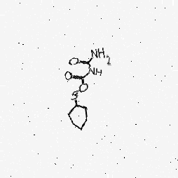 NC(=O)NC(=O)OSC1CCCCC1